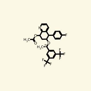 CC(=O)OC1CC(O[C@H](C)c2cc(C(F)(F)F)cc(C(F)(F)F)c2)C(c2ccc(F)cc2)c2cccnc21